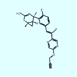 C#CCOc1cnc(/C(F)=C/c2ccc(F)c([C@@]3(C)N=C(N)S[C@@]4(C)C[C@H]43)c2)cn1